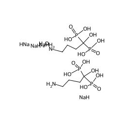 NCCCC(O)(P(=O)(O)O)P(=O)(O)O.NCCCC(O)(P(=O)(O)O)P(=O)(O)O.O.[NaH].[NaH].[NaH].[NaH]